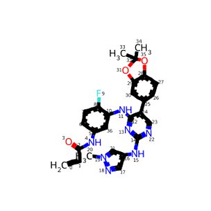 C=CC(=O)Nc1ccc(F)c(Nc2nc(Nc3cnn(C)c3)ncc2-c2ccc3c(c2)OC(C)(C)O3)c1